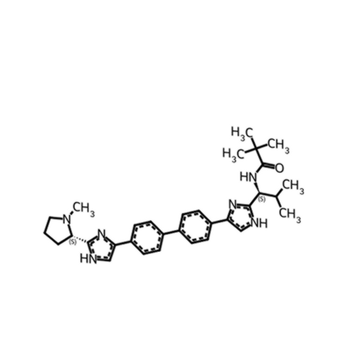 CC(C)[C@H](NC(=O)C(C)(C)C)c1nc(-c2ccc(-c3ccc(-c4c[nH]c([C@@H]5CCCN5C)n4)cc3)cc2)c[nH]1